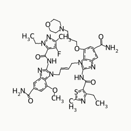 CCc1nc(C)sc1C(=O)Nc1nc2cc(C(N)=O)cc(OCCCN3CCOCC3)c2n1CC=CCn1c(NC(=O)c2c(F)c(C)nn2CC)nc2cc(C(N)=O)cc(OC)c21